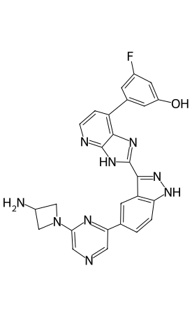 NC1CN(c2cncc(-c3ccc4[nH]nc(-c5nc6c(-c7cc(O)cc(F)c7)ccnc6[nH]5)c4c3)n2)C1